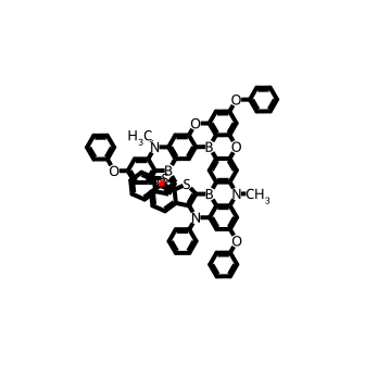 CN1c2cc3c(cc2B2c4sc5ccccc5c4Oc4cc(Oc5ccccc5)cc1c42)B1c2cc4c(cc2Oc2cc(Oc5ccccc5)cc(c21)O3)N(C)c1cc(Oc2ccccc2)cc2c1B4c1sc3ccccc3c1N2c1ccccc1